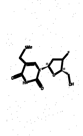 CSCc1cn([C@@H]2CC(F)[C@H](CO)O2)c(=O)[nH]c1=O